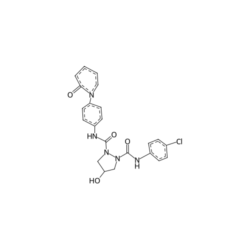 O=C(Nc1ccc(Cl)cc1)N1CC(O)CN1C(=O)Nc1ccc(-n2ccccc2=O)cc1